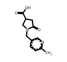 Cc1ccc(CN2CC(C(=O)O)CC2=O)cn1